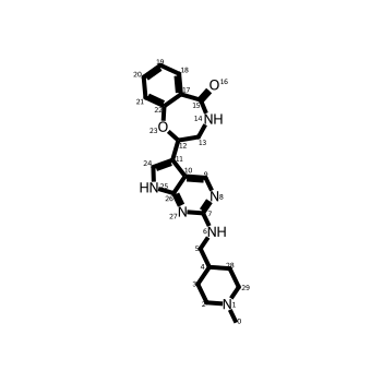 CN1CCC(CNc2ncc3c(C4CNC(=O)c5ccccc5O4)c[nH]c3n2)CC1